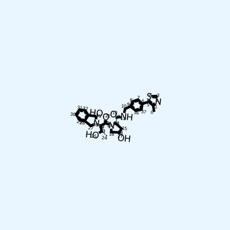 Cc1ncsc1-c1ccc(CNC(=O)[C@@H]2C[C@@H](O)CN2C(=O)[C@H]([C@H](C)O)N2Cc3ccccc3C2O)cc1